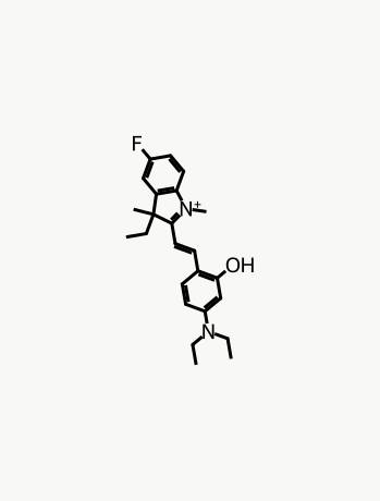 CCN(CC)c1ccc(/C=C/C2=[N+](C)c3ccc(F)cc3C2(C)CC)c(O)c1